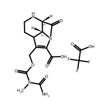 CN(C(N)=O)C(=O)OCC1=C(C(=O)O)N2C(=O)[C@H]3NCCC1[C@H]32.O=C(O)C(F)(F)F